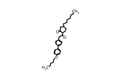 CCCCCCCC1CCC(C(=O)Cc2ccc(-c3ccc(OCCCCC)cc3)cc2)C(=O)C1